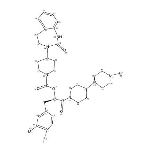 CCc1ccc(C[C@@H](OC(=O)N2CCC(N3CCc4ccccc4NC3=O)CC2)C(=O)N2CCC(N3CCN(CC)CC3)CC2)cc1CC